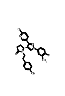 Cc1cc(-n2cc([C@H]3CCC(=O)N3CCc3ccc(O)cc3)c(-c3ccc(Cl)nc3)n2)ccc1F